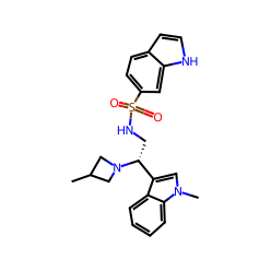 CC1CN([C@H](CNS(=O)(=O)c2ccc3cc[nH]c3c2)c2cn(C)c3ccccc23)C1